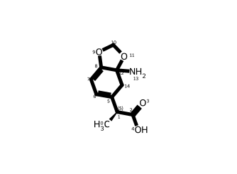 C[C@H](C(=O)O)C1=CC=C2OCOC2(N)C1